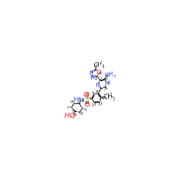 Cc1nnc(-c2nc(-c3cc(S(=O)(=O)N[C@H]4CC[C@H](O)CC4)ccc3C)cnc2N)o1